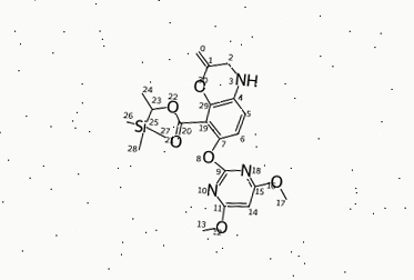 C=C1CNc2ccc(Oc3nc(OC)cc(OC)n3)c(C(=O)OC(C)[Si](C)(C)C)c2O1